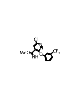 COC(=N)c1cc(Cl)nnc1Oc1cccc(C(F)(F)F)c1